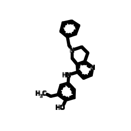 CCc1cc(Nc2ccnc3c2CN(Cc2ccccc2)CC3)ccc1O